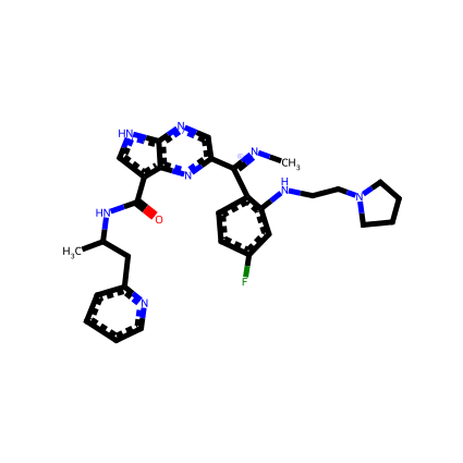 C/N=C(/c1cnc2[nH]cc(C(=O)NC(C)Cc3ccccn3)c2n1)c1ccc(F)cc1NCCN1CCCC1